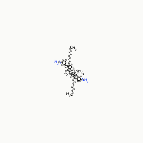 CCCCCCCCCC(c1ccc(C(CCCC)(c2ccc(C(CCCCCCCCC)c3ccc(N)cc3C)cc2)C2CCCCC2)cc1)c1ccc(N)cc1C